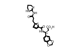 O=C(O)C[C@H](NC(=O)c1ccc(CCC(=O)NC2=NCCCN2)s1)c1ccc2c(c1)OCO2